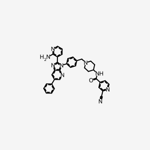 N#Cc1cc(C(=O)NC2CCN(Cc3ccc(-n4c(-c5cccnc5N)nc5cc(-c6ccccc6)cnc54)cc3)CC2)ccn1